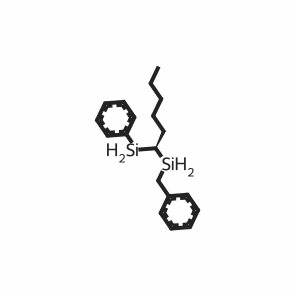 CCCCC[C@@H]([SiH2]Cc1ccccc1)[SiH2]c1ccccc1